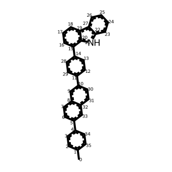 Cc1ccc(-c2ccc3cc(-c4ccc(-c5cccc6c5[nH]c5ccccc56)cc4)ccc3c2)cc1